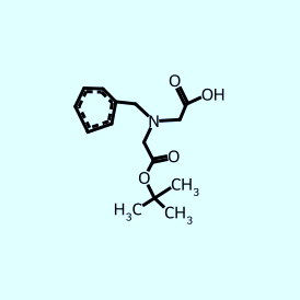 CC(C)(C)OC(=O)CN(CC(=O)O)Cc1ccccc1